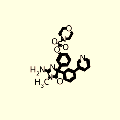 CN1C(=O)C(c2cccc(OS(=O)(=O)N3CCOCC3)c2)(c2cccc(-c3cccnc3)c2)N=C1N